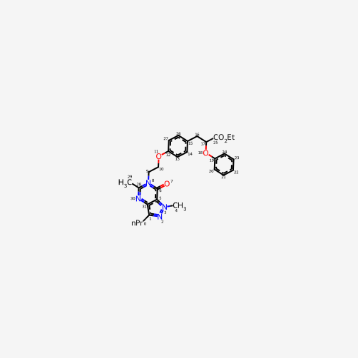 CCCc1nn(C)c2c(=O)n(CCOc3ccc(CC(Oc4ccccc4)C(=O)OCC)cc3)c(C)nc12